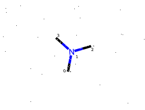 [CH2]N([CH2])C